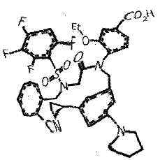 CCOc1cc(C(=O)O)ccc1N(Cc1cc(C2CC2)cc(N2CCCC2)c1)C(=O)CN(Cc1ccccc1C#N)S(=O)(=O)c1c(F)cc(F)c(F)c1F